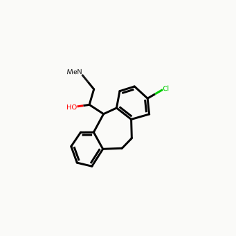 CNCC(O)C1c2ccccc2CCc2cc(Cl)ccc21